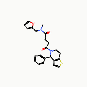 CN(Cc1ccco1)C(=O)CCC(=O)N1CCc2sccc2C1c1ccccc1